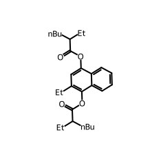 CCCCC(CC)C(=O)Oc1cc(CC)c(OC(=O)C(CC)CCCC)c2ccccc12